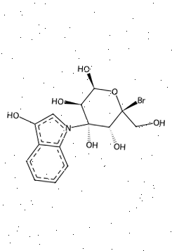 OC[C@@]1(Br)O[C@H](O)[C@H](O)[C@](O)(n2cc(O)c3ccccc32)[C@H]1O